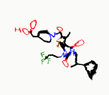 Cc1c(C(=O)N2CCC(CC(=O)O)CC2)sc2c1c(=O)n(CC(C)c1ccccc1)c(=O)n2CCC(F)(F)F